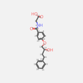 O=C(O)CNC(=O)c1ccc(OCC(O)CCc2ccccc2)cc1